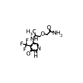 CC(COCC(N)=O)Nc1cn[nH]c(=O)c1C(F)(F)F